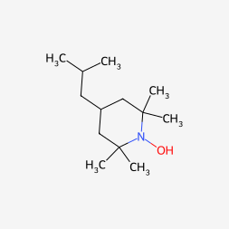 CC(C)CC1CC(C)(C)N(O)C(C)(C)C1